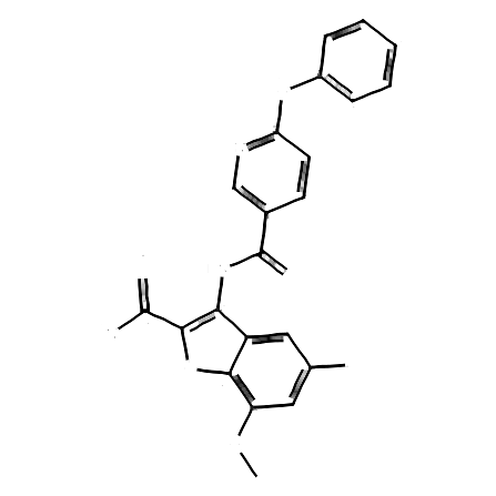 COc1cc(F)cc2c(NC(=O)c3ccc(Oc4ccccc4)nc3)c(C(N)=O)oc12